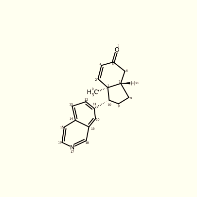 C[C@]12C=CC(=O)C[C@@H]1CC[C@@H]2c1ccc2ccncc2c1